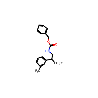 CCOC(=O)C(CNC(=O)OCc1ccccc1)c1cccc(C(F)(F)F)c1